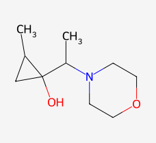 CC1CC1(O)C(C)N1CCOCC1